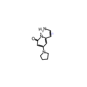 Cn1c(/C=C\N)cc(N2CCCC2)cc1=O